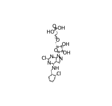 O=P(O)(O)CSOC[C@H]1O[C@@H](n2ncc3c(NCc4ccccc4Cl)nc(Cl)nc32)[C@H](O)[C@@H]1O